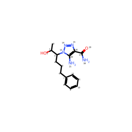 CC(O)C(CCCc1ccccc1)n1nnc(C(N)=O)c1N